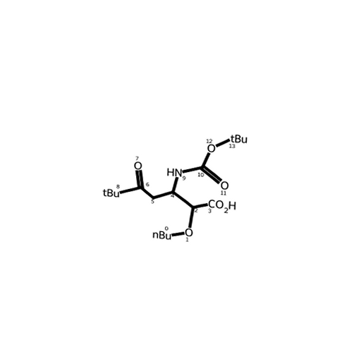 CCCCOC(C(=O)O)C(CC(=O)C(C)(C)C)NC(=O)OC(C)(C)C